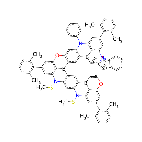 CSN1c2cc3c(cc2B2c4ccccc4Oc4cc(-c5c(C)cccc5C)cc1c42)B1c2cc4c(cc2Oc2cc(-c5c(C)cccc5C)cc(c21)N3SC)N(c1ccccc1)c1cc(-c2c(C)cccc2C)cc2c1B4c1cccc3c4ccccc4n-2c13